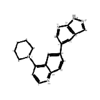 c1cc(N2CCCCC2)c2cc(-c3cnc4[nH]ncc4c3)ccc2n1